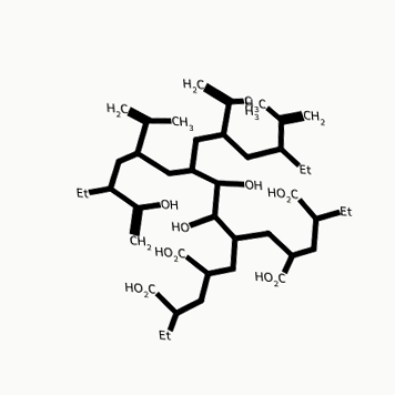 C=C(C)C(CC)CC(CC(CC(CC(CC)C(=C)O)C(=C)C)C(O)C(O)C(CC(CC(CC)C(=O)O)C(=O)O)CC(CC(CC)C(=O)O)C(=O)O)C(=C)C